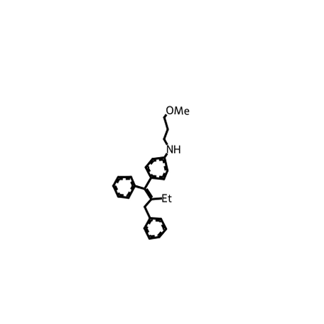 CCC(Cc1ccccc1)=C(c1ccccc1)c1ccc(NCCCOC)cc1